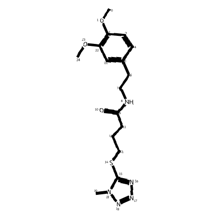 COc1ccc(CCNC(=O)CCCSc2nnnn2C)cc1OC